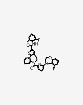 Cc1cccc(F)c1NC(=O)c1cc2c(s1)-c1ccccc1N(C(=O)c1cccc(N3CCOc4cccc(F)c4C3)n1)CC2